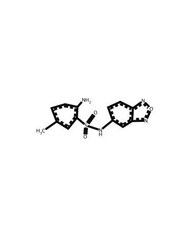 Cc1ccc(N)c(S(=O)(=O)Nc2ccc3nonc3c2)c1